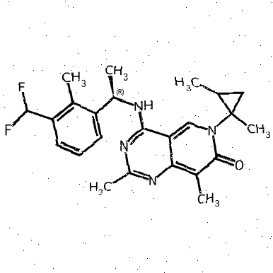 Cc1nc(N[C@H](C)c2cccc(C(F)F)c2C)c2cn(C3(C)CC3C)c(=O)c(C)c2n1